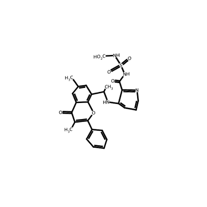 Cc1cc(C(C)Nc2cccnc2C(=O)NS(=O)(=O)NC(=O)O)c2oc(-c3ccccc3)c(C)c(=O)c2c1